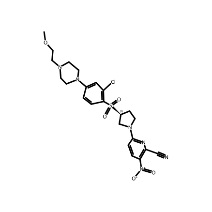 COCCN1CCN(c2ccc(S(=O)(=O)[C@H]3CCN(c4ccc([N+](=O)[O-])c(C#N)n4)C3)c(Cl)c2)CC1